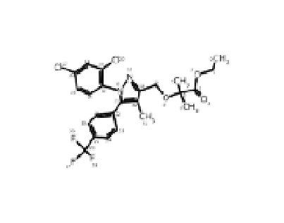 CCOC(=O)C(C)(C)OCc1nn(-c2ccc(Cl)cc2Cl)c(-c2ccc(C(F)(F)F)cc2)c1C